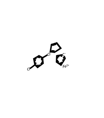 C1=CCC=C1.Clc1ccc(Cl)cc1.[Fe+2].c1cc[cH-]c1